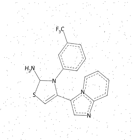 NC1SC=C(c2cnc3ccccn23)N1c1cccc(C(F)(F)F)c1